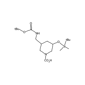 CC(C)(C)OC(=O)NCC1CC(O[Si](C)(C)C(C)(C)C)CN(C(=O)O)C1